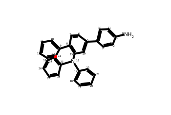 Nc1ccc(-c2ccc(-c3ccccc3)c(N(c3ccccc3)c3ccccc3)c2)cc1